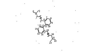 CC(C)CSCc1ccccc1-c1ccccc1CSCC(C)C